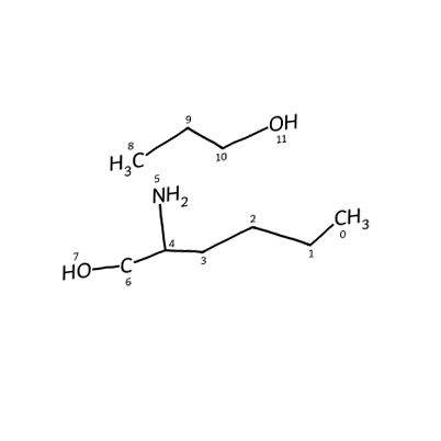 CCCCC(N)CO.CCCO